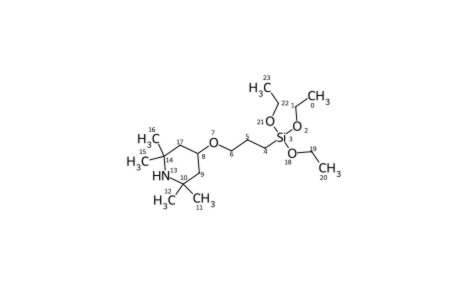 CCO[Si](CCCOC1CC(C)(C)NC(C)(C)C1)(OCC)OCC